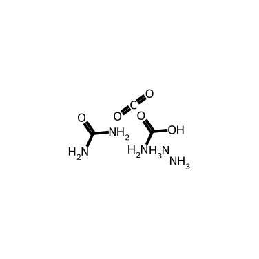 N.N.NC(=O)O.NC(N)=O.O=C=O